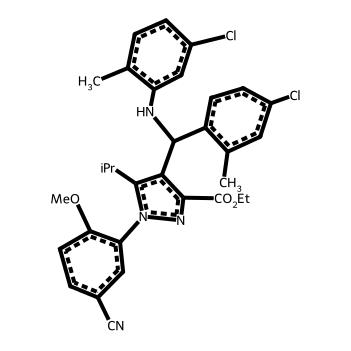 CCOC(=O)c1nn(-c2cc(C#N)ccc2OC)c(C(C)C)c1C(Nc1cc(Cl)ccc1C)c1ccc(Cl)cc1C